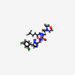 CC(C)CCC(=O)N[C@@H](CC(=S)N1CCOC[C@@H]1C)C(=O)NCc1ncc(-c2ccc(F)cc2F)[nH]1